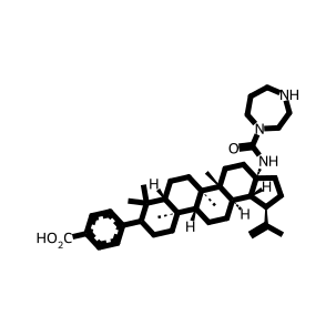 C=C(C)[C@@H]1CC[C@]2(NC(=O)N3CCCNCC3)CC[C@]3(C)[C@H](CC[C@@H]4[C@@]5(C)CCC(c6ccc(C(=O)O)cc6)C(C)(C)[C@@H]5CC[C@]43C)[C@@H]12